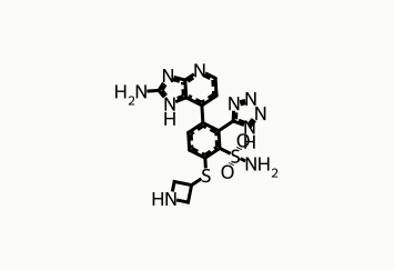 Nc1nc2nccc(-c3ccc(SC4CNC4)c(S(N)(=O)=O)c3-c3nnn[nH]3)c2[nH]1